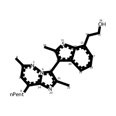 CCCCCc1cc(C)nn2c(-c3c(C)sc4c(CCO)cccc34)c(C)nc12